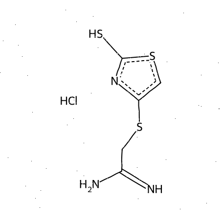 Cl.N=C(N)CSc1csc(S)n1